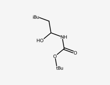 CCC(C)CC(O)NC(=O)OC(C)(C)C